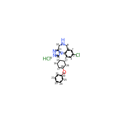 Cl.Clc1ccc2c(c1)CNCc1nnc([C@H]3CC[C@H](Oc4ccccc4)CC3)n1-2